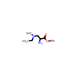 CC(C)(C)OC(=O)C(N)CN(C=O)CC(=O)O